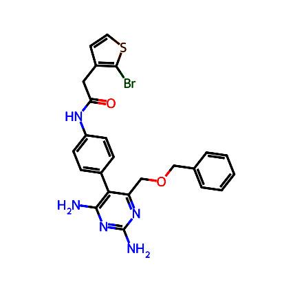 Nc1nc(N)c(-c2ccc(NC(=O)Cc3ccsc3Br)cc2)c(COCc2ccccc2)n1